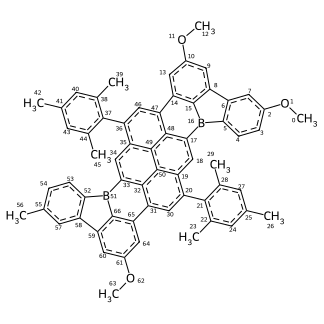 COc1ccc2c(c1)-c1cc(OC)cc3c1B2c1cc2c(-c4c(C)cc(C)cc4C)cc4c5c(cc6c(-c7c(C)cc(C)cc7C)cc-3c1c6c25)B1c2ccc(C)cc2-c2cc(OC)cc-4c21